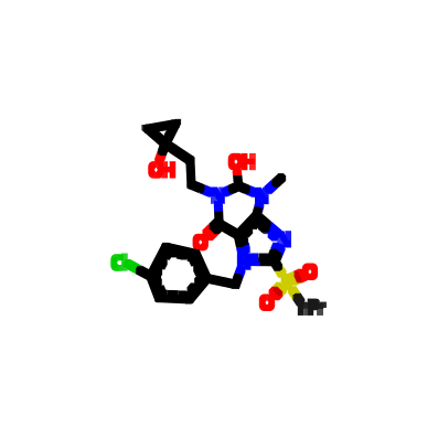 CCCS(=O)(=O)c1nc2c(n1Cc1ccc(Cl)cc1)C(=O)N(CCC1(O)CC1)C(O)N2C